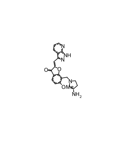 COc1ccc2c(c1CN1CC[C@@H](N)C1)OC(=Cc1n[nH]c3ncccc13)C2=O